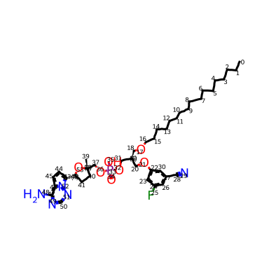 CCCCCCCCCCCCCCCCCOC[C@@H](COc1cc(F)cc(C#N)c1)COP(=O)(O)OC[C@]1(C)CC[C@H](c2ccc3c(N)ncnn23)O1